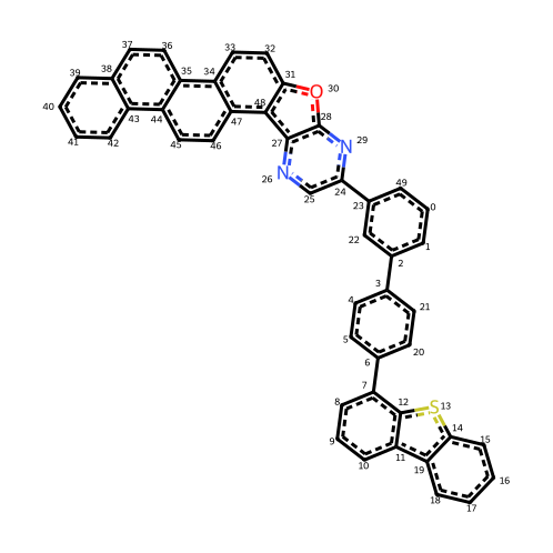 c1cc(-c2ccc(-c3cccc4c3sc3ccccc34)cc2)cc(-c2cnc3c(n2)oc2ccc4c5ccc6ccccc6c5ccc4c23)c1